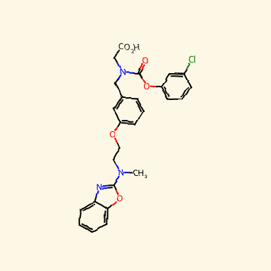 CN(CCOc1cccc(CN(CC(=O)O)C(=O)Oc2cccc(Cl)c2)c1)c1nc2ccccc2o1